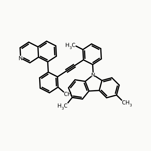 Cc1ccc2c(c1)c1cc(C)ccc1n2-c1cccc(C)c1C#Cc1c(C)cccc1-c1cccc2ccncc12